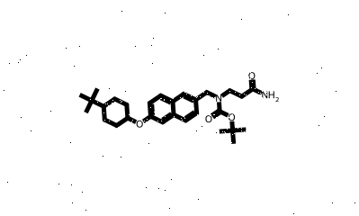 CC(C)(C)OC(=O)N(CCC(N)=O)Cc1ccc2cc(OC3CCC(C(C)(C)C)CC3)ccc2c1